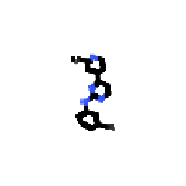 Cc1cccc(Nc2nccc(-c3ccnc(C)c3)n2)c1